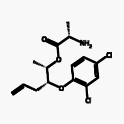 C=CC[C@@H](Oc1ccc(Cl)cc1Cl)[C@H](C)OC(=O)[C@H](C)N